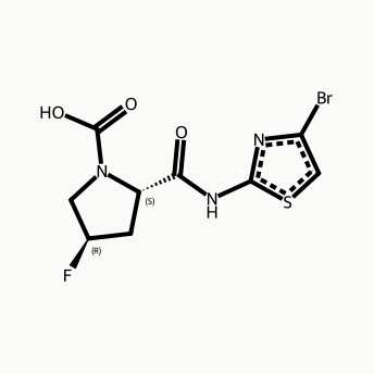 O=C(Nc1nc(Br)cs1)[C@@H]1C[C@@H](F)CN1C(=O)O